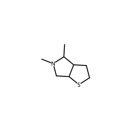 CC1C2CCSC2CN1C